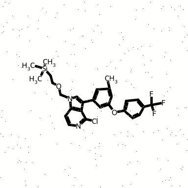 Cc1cc(Oc2ccc(C(F)(F)F)cc2)cc(-c2cn(COCC[Si](C)(C)C)c3ccnc(Cl)c23)c1